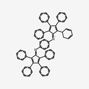 C1=CCC(C2=C(c3ccccc3)C(c3ccccc3)=C(c3ccccc3)/C2=N\c2ccc(N=C3C(c4ccccc4)=C(c4ccccc4)C(c4ccccc4)=C3c3ccccc3)cc2)C=C1